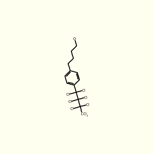 [O]CCCCc1ccc(C(Cl)(Cl)C(Cl)(Cl)C(Cl)(Cl)C(Cl)(Cl)Cl)cc1